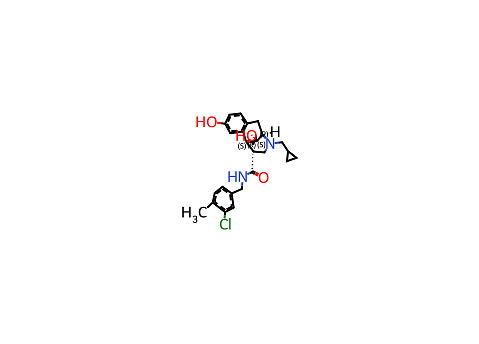 Cc1ccc(CNC(=O)[C@@H]2C[C@]34CCN(CC5CC5)[C@H](Cc5ccc(O)cc53)[C@]4(O)C2)cc1Cl